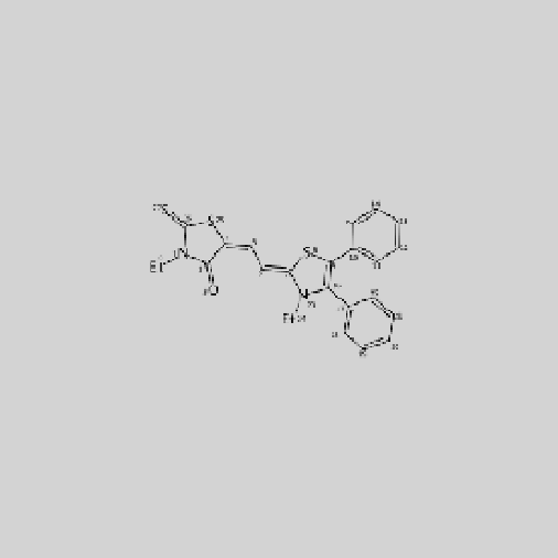 CCN1C(=O)/C(=C\C=C2/SC(c3ccccc3)=C(c3ccccc3)N2CC)SC1=S